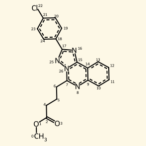 COC(=O)CCCc1nc2ccccc2c2nc(-c3ccc(Cl)cc3)nn12